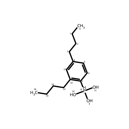 CCCCc1ccc([PH](O)(O)O)c(CCCC)c1